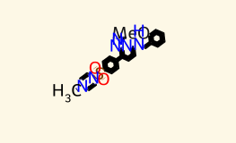 COc1ccccc1CNc1ccc(-c2ccc(S(=O)(=O)N3CCN(C)CC3)cc2)c2nncn12